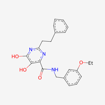 CCOc1cccc(CNC(=O)c2nc(CCc3ccccc3)nc(O)c2O)c1